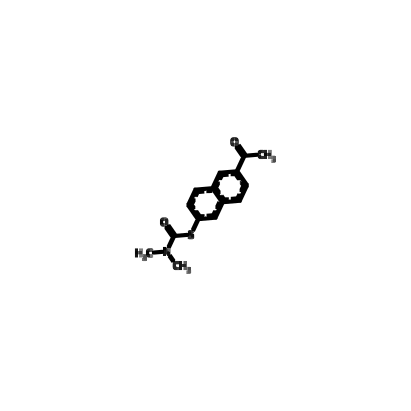 CC(=O)c1ccc2cc(SC(=O)N(C)C)ccc2c1